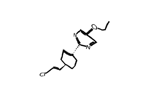 CCOc1cnc([C@H]2CC[C@H](/C=C/Cl)CC2)nc1